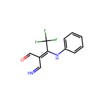 N=C/C(C=O)=C(\Nc1ccccc1)C(F)(F)F